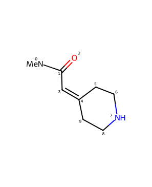 CNC(=O)C=C1CCNCC1